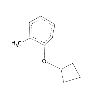 Cc1ccccc1OC1CCC1